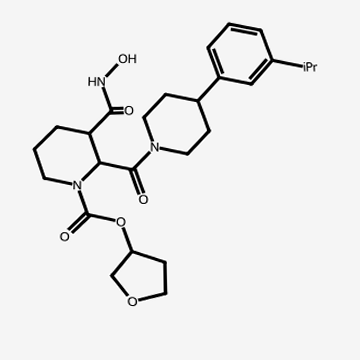 CC(C)c1cccc(C2CCN(C(=O)C3C(C(=O)NO)CCCN3C(=O)OC3CCOC3)CC2)c1